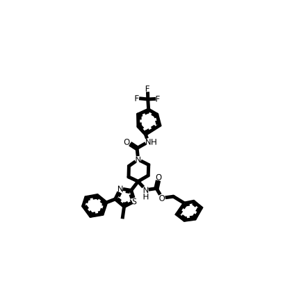 Cc1sc(C2(NC(=O)OCc3ccccc3)CCN(C(=O)Nc3ccc(C(F)(F)F)cc3)CC2)nc1-c1ccccc1